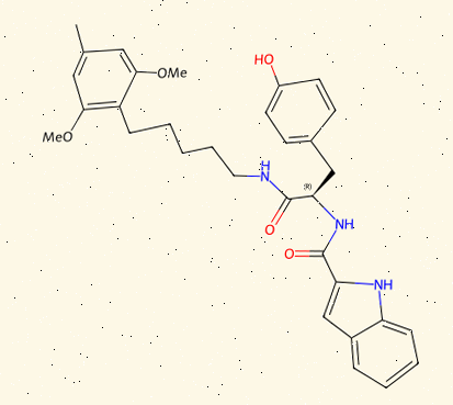 COc1cc(C)cc(OC)c1CCCCCNC(=O)[C@@H](Cc1ccc(O)cc1)NC(=O)c1cc2ccccc2[nH]1